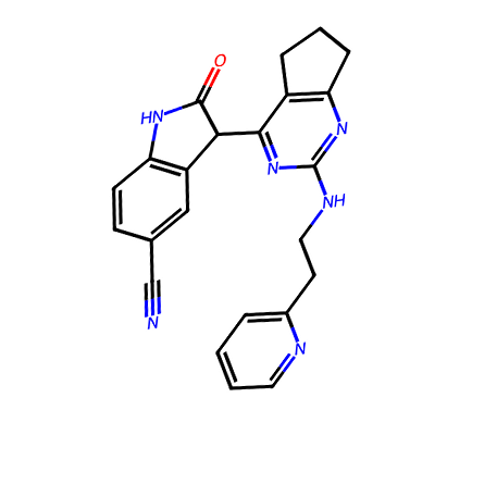 N#Cc1ccc2c(c1)C(c1nc(NCCc3ccccn3)nc3c1CCC3)C(=O)N2